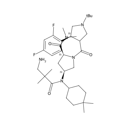 CN(C)C(=O)[C@@H]1C[C@H](N(C(=O)C(C)(C)CN)C2CCC(C)(C)CC2)CN1C(=O)C1CN(C(C)(C)C)C[C@@H]1c1ccc(F)cc1F